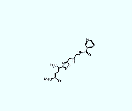 CC/C(=C\C=C(/C)c1noc(CNCCNC(=O)c2cccnc2)n1)OC